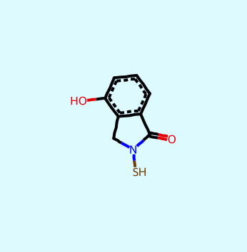 O=C1c2cccc(O)c2CN1S